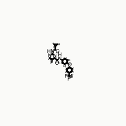 Cc1cnc(NC(=O)C2CC2)nc1C(=O)Nc1ccc(Oc2ccc(C(F)(F)F)cc2)cc1